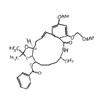 COCOc1cc(OC)cc2c1C(=O)NC(C)CCCC(OC(=O)c1ccccc1)C1OC(C)(C)O[C@H]1C/C=C/2